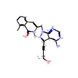 Cc1cccc2cc(Cn3nc(C#C[C@@H](C)O)c4c(N)ncnc43)n(C(C)C)c(=O)c12